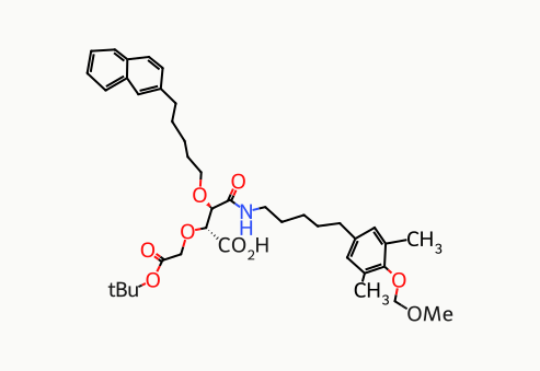 COCOc1c(C)cc(CCCCCNC(=O)[C@H](OCCCCCc2ccc3ccccc3c2)[C@@H](OCC(=O)OC(C)(C)C)C(=O)O)cc1C